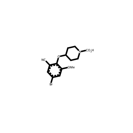 COc1cc(Br)cc(C#N)c1OC1CCN(C(=O)O)CC1